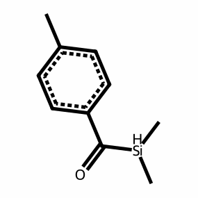 Cc1ccc(C(=O)[SiH](C)C)cc1